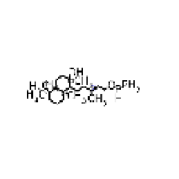 C/C(=C\COPP)CCC1[C@](C)(O)CC[C@H]2C(C)(C)CCC[C@]12C